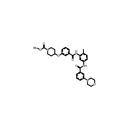 Cc1ccc(NC(=O)c2cccc(N3CCOCC3)c2)cc1NC(=O)c1cccc(OC2CCN(C(=O)OC(C)(C)C)CC2)c1